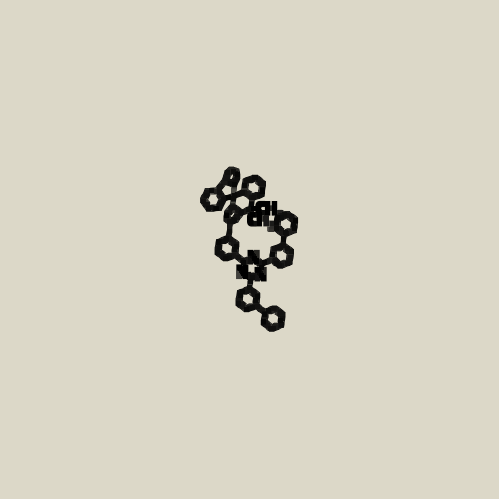 CC1(C)c2ccccc2C2(c3ccccc3-c3ccccc32)c2ccc(-c3cccc(-c4nc(-c5cccc(-c6ccccc6)c5)nc(-c5cccc(-c6ccccc6)c5)n4)c3)cc21